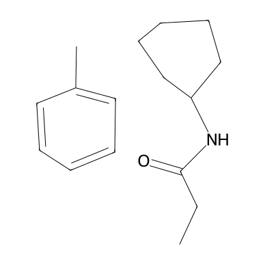 CCC(=O)NC1CCCCC1.Cc1ccccc1